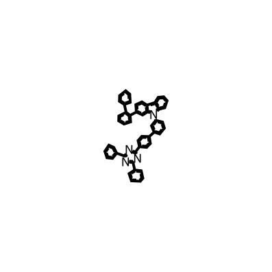 c1ccc(-c2nc(-c3ccccc3)nc(-c3ccc(-c4cccc(-n5c6ccccc6c6ccc(-c7ccccc7-c7ccccc7)cc65)c4)cc3)n2)cc1